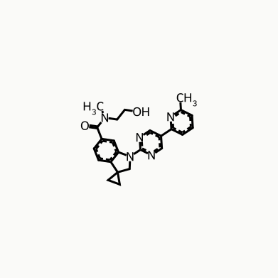 Cc1cccc(-c2cnc(N3CC4(CC4)c4ccc(C(=O)N(C)CCO)cc43)nc2)n1